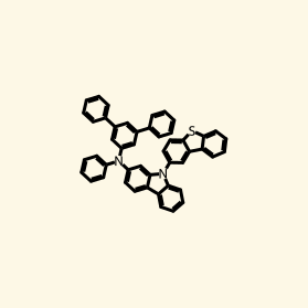 c1ccc(-c2cc(-c3ccccc3)cc(N(c3ccccc3)c3ccc4c5ccccc5n(-c5ccc6sc7ccccc7c6c5)c4c3)c2)cc1